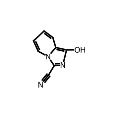 N#Cc1nc(O)c2ccccn12